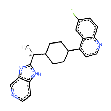 C[C@@H](c1nc2cnccc2[nH]1)C1CCC(c2ccnc3ccc(F)cc23)CC1